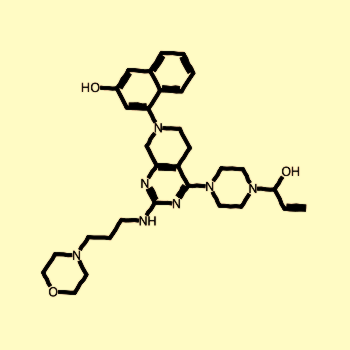 C=CC(O)N1CCN(c2nc(NCCCN3CCOCC3)nc3c2CCN(c2cc(O)cc4ccccc24)C3)CC1